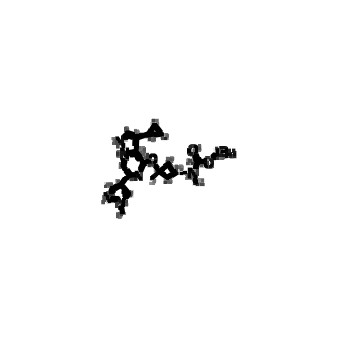 Cn1cc(-c2cn3ncc(C4CC4)c3c(O[C@]3(C)C[C@H](N(C)C(=O)OC(C)(C)C)C3)n2)cn1